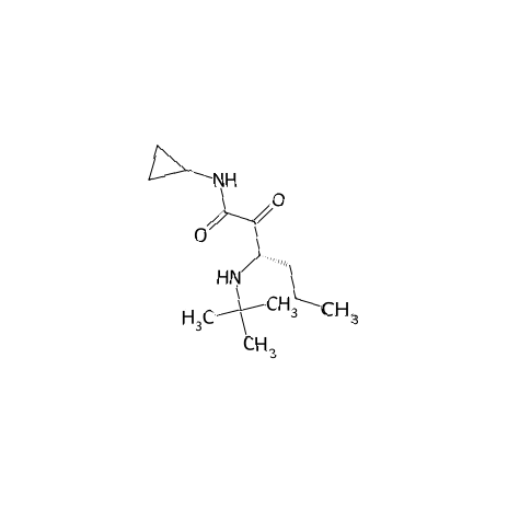 CCC[C@H](NC(C)(C)C)C(=O)C(=O)NC1CC1